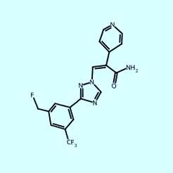 NC(=O)/C(=C\n1cnc(-c2cc(CF)cc(C(F)(F)F)c2)n1)c1ccncc1